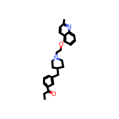 CCC(=O)c1cccc(CC2CCN(CCOc3cccc4nc(C)ccc34)CC2)c1